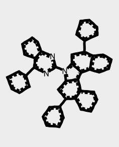 c1ccc(-c2nc(-n3c4cc(-c5ccccc5)c5ccccc5c4c4c5ccccc5c(-c5ccccc5)cc43)nc3ccccc23)cc1